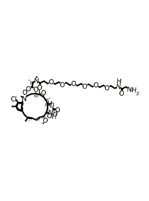 CO[C@@H]1/C=C/C=C(\C)Cc2cc(C)c(Cl)c(c2)N(C)C(=O)C[C@H](OC(=O)[C@H](C)N(C)C(=O)CCOCCOCCOCCOCCOCCOCCNC(=O)CN)[C@]2(C)OC2[C@H](C)[C@@H]2C[C@@]1(O)NC(=O)O2